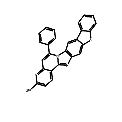 CC(C)(C)c1ccc2c(cc(-c3ccccc3)n3c4cc5c(cc4nc23)sc2ccccc25)n1